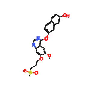 COc1cc2c(Oc3ccc4ccc(O)cc4c3)ncnc2cc1OCCCS(C)(=O)=O